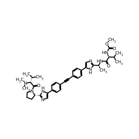 COC(=O)N[C@H](C(=O)N[C@@H](C)c1ncc(-c2ccc(C#Cc3ccc(-c4cnc([C@@H]5CCCN5C(=O)[C@@H](C(C)C)N(C)C)[nH]4)cc3)cc2)[nH]1)C(C)C